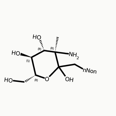 CCCCCCCCCCC1(O)O[C@H](CO)[C@@H](O)[C@H](O)[C@@]1(C)N